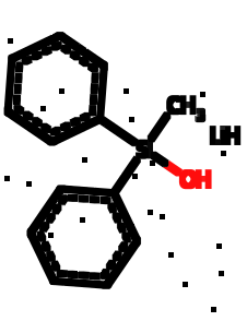 C[Si](O)(c1ccccc1)c1ccccc1.[LiH]